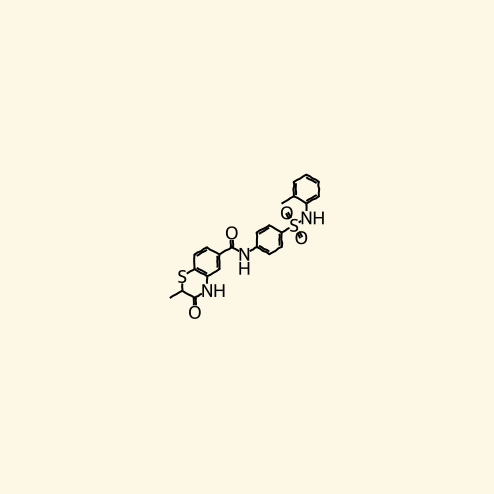 Cc1ccccc1NS(=O)(=O)c1ccc(NC(=O)c2ccc3c(c2)NC(=O)C(C)S3)cc1